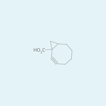 O=C(O)C12C#CCCCCC1C2